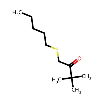 CCCCCSCC(=O)C(C)(C)C